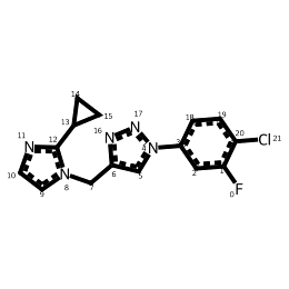 Fc1cc(-n2cc(Cn3ccnc3C3CC3)nn2)ccc1Cl